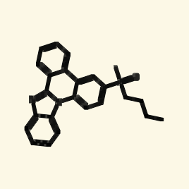 CCCCP(C)(=O)c1ccc2c(c1)c1ccccc1c1nc3ccccc3n21